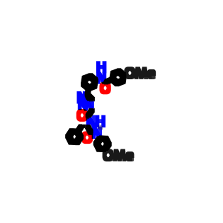 COc1ccc(C(=O)Nc2cccc(-c3cn(CC(=O)N[C@@H](Cc4ccccc4)C(=O)N(C)c4ccc(OC)cc4)nn3)c2)cc1